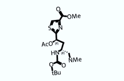 CNC[C@@H](C[C@@H](OC(C)=O)c1nc(C(=O)OC)cs1)NC(=O)OC(C)(C)C